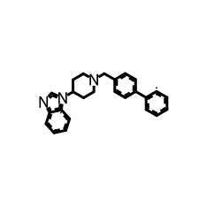 [c]1ccccc1-c1ccc(CN2CCC(n3cnc4ccccc43)CC2)cc1